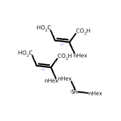 CCCCCC/C(=C/C(=O)O)C(=O)O.CCCCCC/C(=C/C(=O)O)C(=O)O.CCCCC[CH2][Sn][CH2]CCCCC